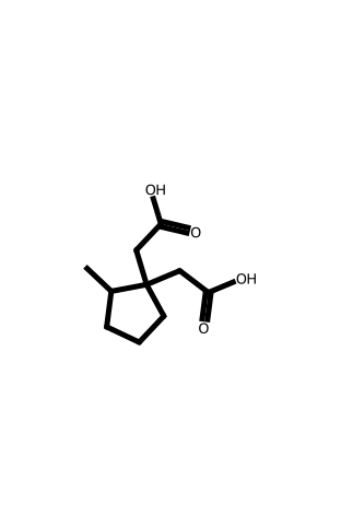 CC1CCCC1(CC(=O)O)CC(=O)O